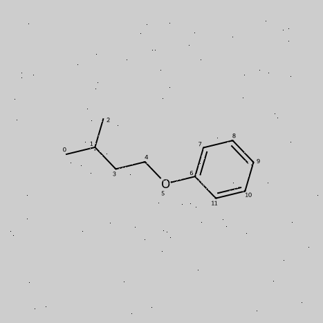 C[C](C)CCOc1ccccc1